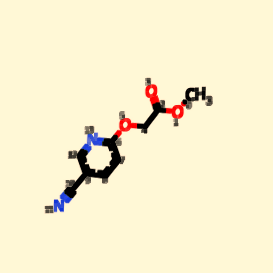 COC(=O)COc1ccc(C#N)cn1